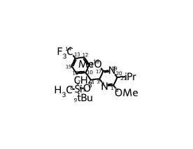 COC1=NC([C@@H](O[Si](C)(C)C(C)(C)C)c2ccc(C(F)(F)F)cc2)C(OC)=NC1C(C)C